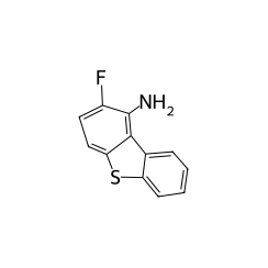 Nc1c(F)ccc2sc3ccccc3c12